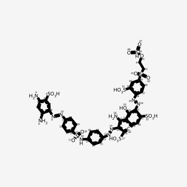 Nc1cc(N)c(S(=O)(=O)O)cc1/N=N/c1ccc(S(=O)(=O)Nc2ccc(/N=N/c3c(S(=O)(=O)O)cc4cc(S(=O)(=O)O)c(/N=N/c5ccc(S(=O)(=O)CCO[SH](=O)=O)cc5S(=O)(=O)O)c(O)c4c3N)cc2)cc1